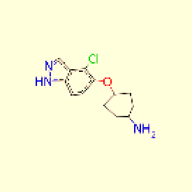 NC1CCC(Oc2ccc3[nH]ncc3c2Cl)CC1